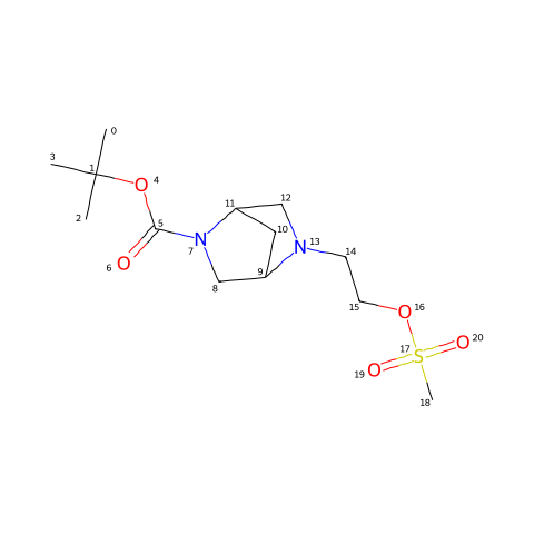 CC(C)(C)OC(=O)N1CC2CC1CN2CCOS(C)(=O)=O